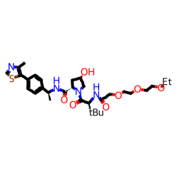 [CH2]COCCOCCOCC(=O)N[C@H](C(=O)N1C[C@H](O)C[C@H]1C(=O)N[C@@H](C)c1ccc(-c2scnc2C)cc1)C(C)(C)C